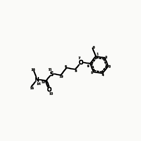 Cc1ccccc1OCCCSC(=O)N(C)C